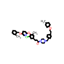 Cc1ccc(OCCc2ccc(CN3CCN(C(=O)C=Cc4cc(C)c(Oc5ccc(OCc6ccccc6C)cn5)c(Cl)c4)CC3)cc2)cc1